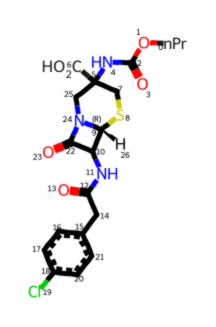 CCCOC(=O)NC1(C(=O)O)CS[C@@H]2C(NC(=O)Cc3ccc(Cl)cc3)C(=O)N2C1